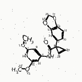 COc1cc(NC(=O)C2(c3ccc4c(c3)OCO4)CC2)cc(OC)n1